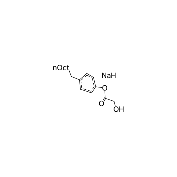 CCCCCCCCCc1ccc(OC(=O)CO)cc1.[NaH]